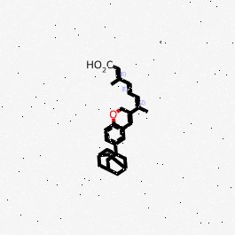 C/C(=C/C=C/C(C)=C/C(=O)O)C1=Cc2cc(C34CC5CC(CC(C5)C3)C4)ccc2OC1